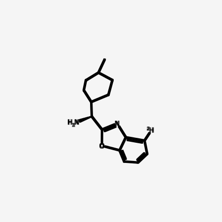 [2H]c1cccc2oc([C@@H](N)C3CCC(C)CC3)nc12